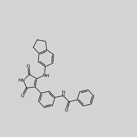 O=C1NC(=O)C(c2cccc(NC(=O)c3ccccc3)c2)=C1Nc1ccc2c(c1)CCC2